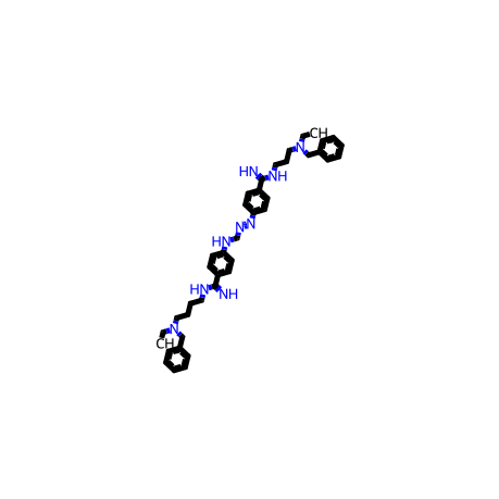 CCN(CCCCNC(=N)c1ccc(NC/N=N/c2ccc(C(=N)NCCCN(CC)Cc3ccccc3)cc2)cc1)Cc1ccccc1